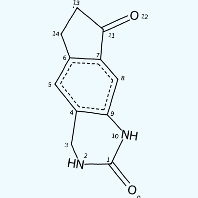 O=C1NCc2cc3c(cc2N1)C(=O)[CH]C3